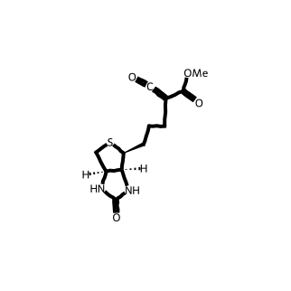 COC(=O)C(=C=O)CCC[C@@H]1SC[C@@H]2NC(=O)N[C@@H]21